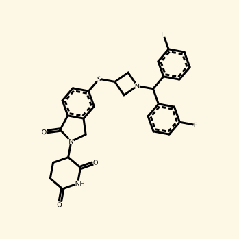 O=C1CCC(N2Cc3cc(SC4CN(C(c5cccc(F)c5)c5cccc(F)c5)C4)ccc3C2=O)C(=O)N1